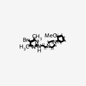 COc1ccccc1N1CCN(CCNc2nc(C)c(Br)c(C)n2)CC1